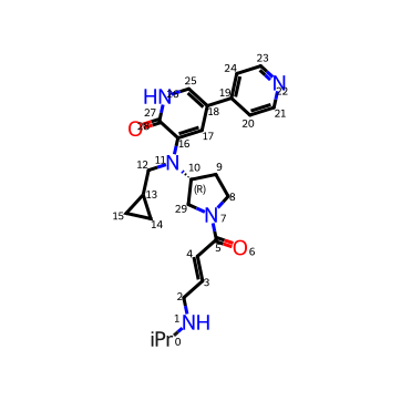 CC(C)NCC=CC(=O)N1CC[C@@H](N(CC2CC2)c2cc(-c3ccncc3)c[nH]c2=O)C1